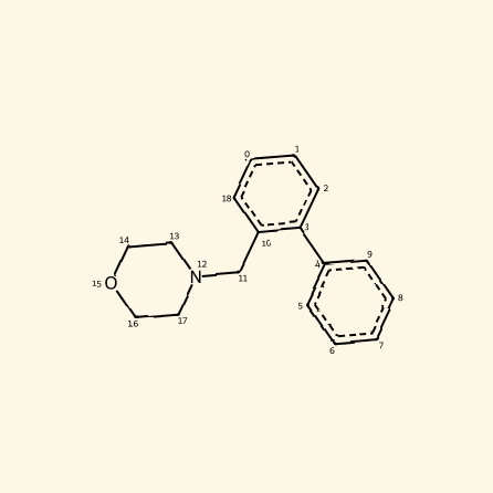 [c]1ccc(-c2ccccc2)c(CN2CCOCC2)c1